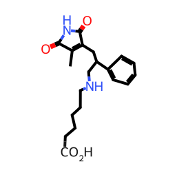 CC1=C(CC(CNCCCCCC(=O)O)c2ccccc2)C(=O)NC1=O